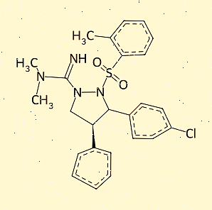 Cc1ccccc1S(=O)(=O)N1C(c2ccc(Cl)cc2)[C@@H](c2ccccc2)CN1C(=N)N(C)C